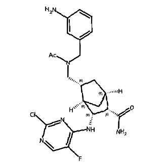 CC(=O)N(Cc1cccc(N)c1)C[C@@H]1C[C@@H]2C[C@H]1[C@@H](Nc1nc(Cl)ncc1F)[C@H]2C(N)=O